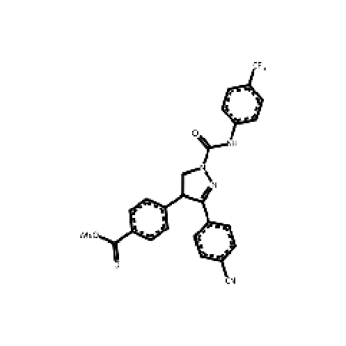 COC(=O)c1ccc(C2CN(C(=O)Nc3ccc(C(F)(F)F)cc3)N=C2c2ccc(C#N)cc2)cc1